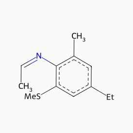 C/C=N\c1c(C)cc(CC)cc1SC